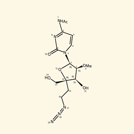 CO[C@@H]1[C@H](n2ccc(NC(C)=O)nc2=O)O[C@@](CO)(CCN=[N+]=[N-])[C@@H]1O